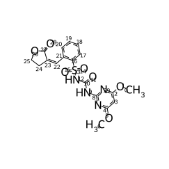 COc1cc(OC)nc(NC(=O)NS(=O)(=O)c2ccccc2C=C2CCOC2=O)n1